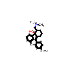 COc1ccc(/C=C2\CCCC(CN(C)C)C2(O)c2cccc(OC)c2)cc1